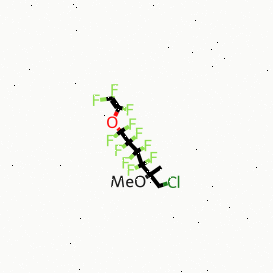 COC(C)(CCl)C(F)(F)C(F)(F)C(F)(F)C(F)(F)OC(F)=C(F)F